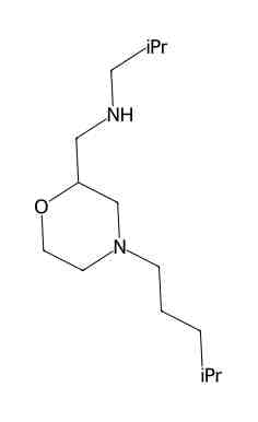 CC(C)CCCN1CCOC(CNCC(C)C)C1